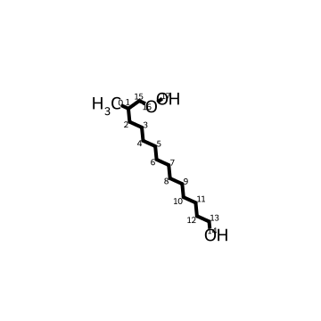 CC(CCCCCCCCCCCCO)COO